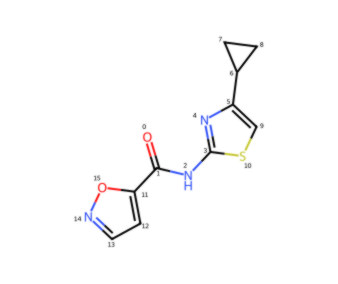 O=C(Nc1nc(C2CC2)cs1)c1ccno1